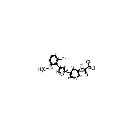 COc1cccc(F)c1-c1cc(-c2cncc(NC(=O)C(Cl)Cl)c2)on1